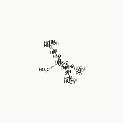 O=C(O)CCCCCCCCCCC(=O)NC(COCCC(=O)NCCCNC(=O)CCCCO[C@H]1OC(CO)[C@@H](O)C(O)C1O)(COCCC(=O)NCCCNC(=O)CCCCO[C@H]1OC(CO)[C@@H](O)C(O)C1O)COCCC(=O)NCCCNC(=O)CCCCO[C@H]1OC(CO)[C@@H](O)C(O)[C@H]1O